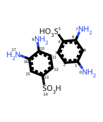 Nc1ccc(S(=O)(=O)O)c(N)c1.Nc1ccc(S(=O)(=O)O)cc1N